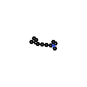 c1ccc(C(Cc2ccc(-c3ccc(-c4ccc(-c5ccc(N(c6ccccc6)c6cccc7ccccc67)cc5)cc4)cc3)cc2)c2cccc3ccccc23)cc1